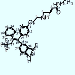 CNC(=O)C=CCNCCOc1ccc(/C(=C(/CC(F)(F)F)c2ccccc2)c2ccc3[nH]nc(F)c3c2)cn1